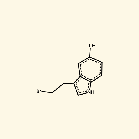 Cc1ccc2[nH]cc(CCBr)c2c1